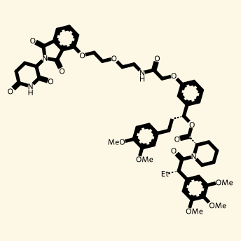 CC[C@H](C(=O)N1CCCC[C@H]1C(=O)O[C@H](CCc1ccc(OC)c(OC)c1)c1cccc(OCC(=O)NCCOCCOc2cccc3c2C(=O)N(C2CCC(=O)NC2=O)C3=O)c1)c1cc(OC)c(OC)c(OC)c1